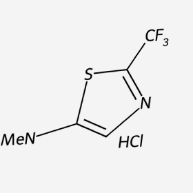 CNc1cnc(C(F)(F)F)s1.Cl